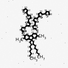 CCCCCCCCC1(CCCCCCCC)c2cc(C)c(Sc3ccc(-c4ccc(-c5ccc(-c6cccs6)s5)s4)s3)cc2-c2cc(Sc3ccc(-c4ccc(-c5ccc(-c6cccs6)s5)s4)s3)c(C)cc21